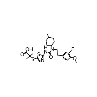 COc1ccc(CCN(C(=O)Nc2ncc(SC(C)(C)C(=O)O)s2)C2CCC(C)CC2)cc1F